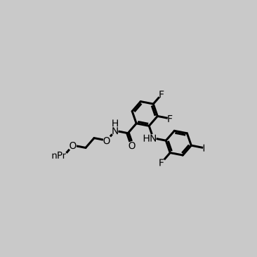 CCCOCCONC(=O)c1ccc(F)c(F)c1Nc1ccc(I)cc1F